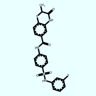 CC1Sc2ccc(C(=O)Nc3ccc(S(=O)(=O)Nc4cccc(F)c4)cc3)cc2NC1=O